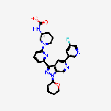 O=C(O)N[C@H]1CCCN(c2cccc(-c3nn(C4CCCCO4)c4cnc(-c5cncc(F)c5)cc34)n2)C1